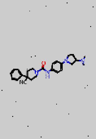 CN(C)C1CCN(c2ccc(NC(=O)N3CCC(C#N)(c4ccccc4)CC3)cc2)C1